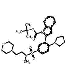 CN(CCN1CCOCC1)S(=O)(=O)c1ccc(N2CCCC2)c(-c2cc3ccccc3n2C(=O)OC(C)(C)C)c1